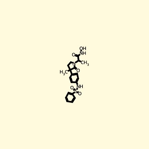 CC(C(=O)NO)N1CCC(C)(c2ccc(NS(=O)(=O)c3ccccc3)cc2)C1=O